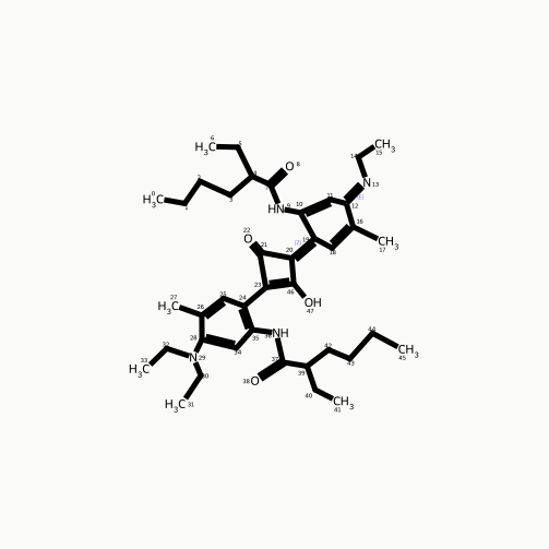 CCCCC(CC)C(=O)NC1=CC(=N\CC)/C(C)=CC/1=C1/C(=O)C(c2cc(C)c(N(CC)CC)cc2NC(=O)C(CC)CCCC)=C1O